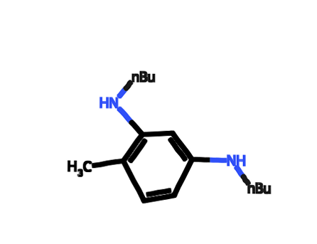 CCCCNc1ccc(C)c(NCCCC)c1